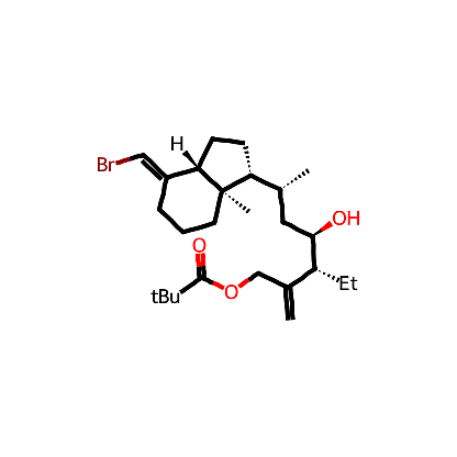 C=C(COC(=O)C(C)(C)C)[C@@H](CC)[C@H](O)C[C@@H](C)[C@H]1CC[C@H]2/C(=C/Br)CCC[C@]12C